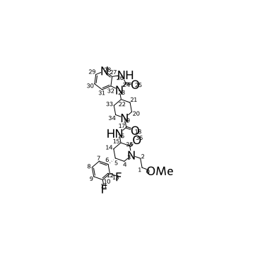 COCCN1C[C@H](c2cccc(F)c2F)CC(NC(=O)N2CCC(n3c(=O)[nH]c4ncccc43)CC2)C1=O